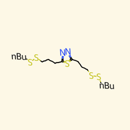 CCCCSSCCCc1nnc(CCCSSCCCC)s1